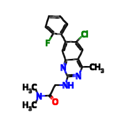 Cc1nc(NCC(=O)N(C)C)nc2cc(-c3ccccc3F)c(Cl)cc12